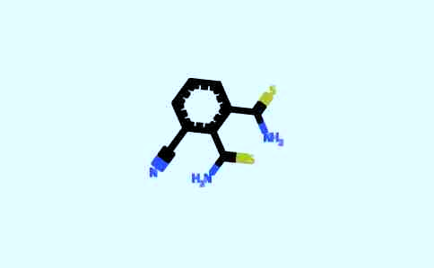 N#Cc1cccc(C(N)=S)c1C(N)=S